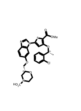 COC(=O)c1sc(-n2cnc3ccc(OC[C@H]4CN(C(=O)O)CCO4)cc32)cc1O[C@H](C)c1ccccc1Cl